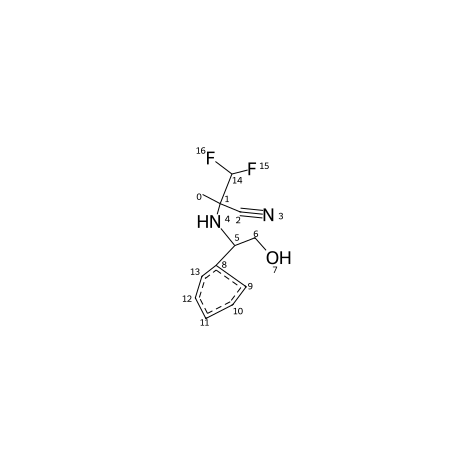 CC(C#N)(NC(CO)c1ccccc1)C(F)F